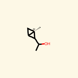 CC(O)C1C2C[C@]21C